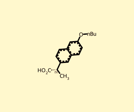 CCCCOc1ccc2cc([C@H](C)C(=O)O)ccc2c1